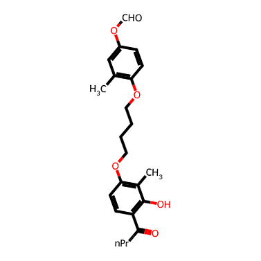 CCCC(=O)c1ccc(OCCCCOc2ccc(OC=O)cc2C)c(C)c1O